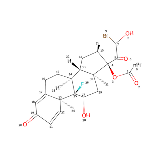 CCCC(=O)O[C@]1(C(=O)C(O)Br)[C@H](C)C[C@H]2[C@@H]3CCC4=CC(=O)C=C[C@]4(C)[C@@]3(F)[C@@H](O)C[C@@]21C